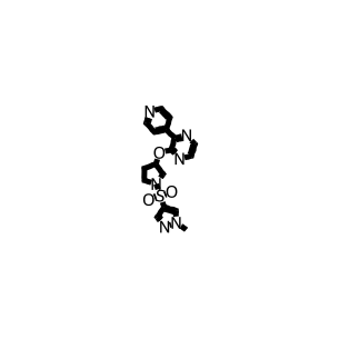 Cn1cc(S(=O)(=O)N2CCC(Oc3nccnc3-c3ccncc3)C2)cn1